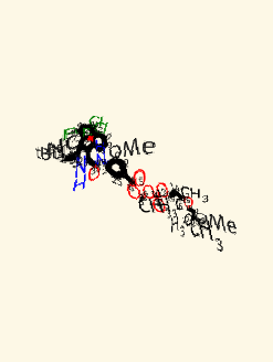 COc1cc(C(=O)OC(C)OC(=O)OCCC(C)(C)OCCC(C)(C)OC)ccc1NC(=O)C1NC(CC(C)(C)C)[C@](C#N)(c2ccc(Cl)cc2F)C1c1cccc(Cl)c1F